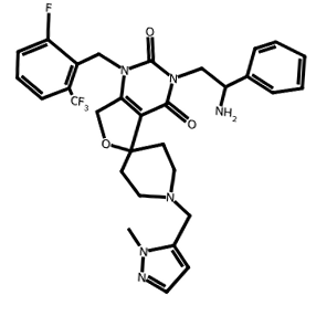 Cn1nccc1CN1CCC2(CC1)OCc1c2c(=O)n(CC(N)c2ccccc2)c(=O)n1Cc1c(F)cccc1C(F)(F)F